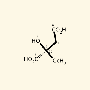 O=C(O)C[C@](O)([GeH3])C(=O)O